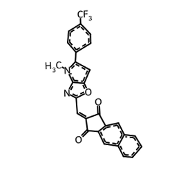 Cn1c(-c2ccc(C(F)(F)F)cc2)cc2oc(C=C3C(=O)c4cc5ccccc5cc4C3=O)nc21